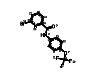 O=C(Nc1ccc(OC(F)(F)F)cc1)c1cccc(Br)n1